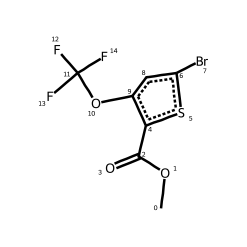 COC(=O)c1sc(Br)cc1OC(F)(F)F